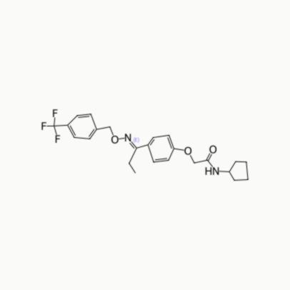 CC/C(=N\OCc1ccc(C(F)(F)F)cc1)c1ccc(OCC(=O)NC2CCCC2)cc1